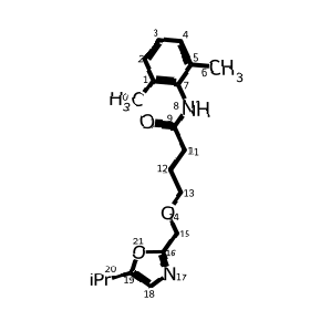 Cc1cccc(C)c1NC(=O)CCCOCc1ncc(C(C)C)o1